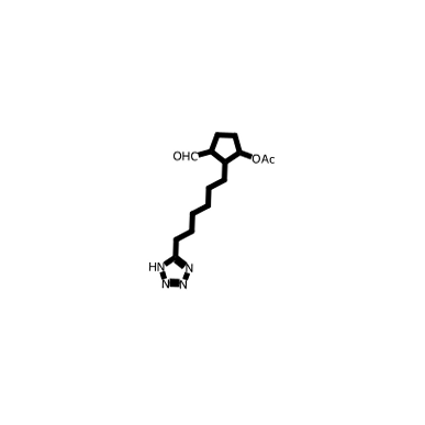 CC(=O)OC1CCC(C=O)C1CCCCCCc1nnn[nH]1